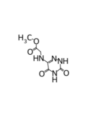 COC(=O)CNc1n[nH]c(=O)[nH]c1=O